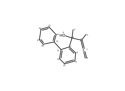 C=C=C(C)C(C)(O)c1ccccc1-c1ccccc1